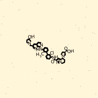 Cc1c(Nc2nccc3cc(CN4CC[C@@H](O)C4)cnc23)cccc1-c1cccc(NC(=O)c2cc3n(n2)CCCC3N2CC[C@@H](C(=O)O)C2)c1Cl